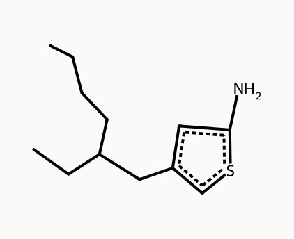 CCCCC(CC)Cc1csc(N)c1